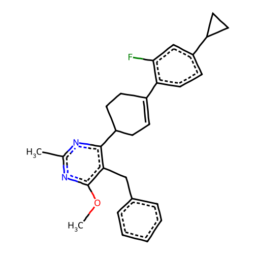 COc1nc(C)nc(C2CC=C(c3ccc(C4CC4)cc3F)CC2)c1Cc1ccccc1